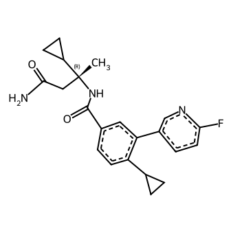 C[C@](CC(N)=O)(NC(=O)c1ccc(C2CC2)c(-c2ccc(F)nc2)c1)C1CC1